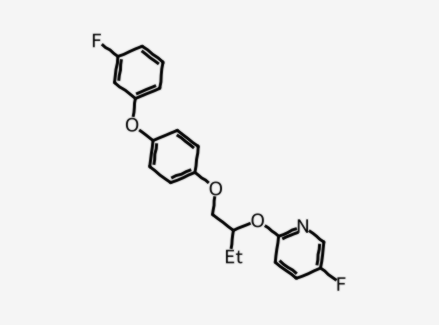 CCC(COc1ccc(Oc2cccc(F)c2)cc1)Oc1ccc(F)cn1